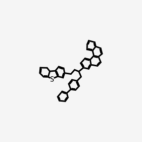 C1=CCC2C(=C1)Sc1cc(CCC(Cc3ccc(-c4ccccc4)cc3)c3ccc4c(ccc5ccc6ccccc6c54)c3)ccc12